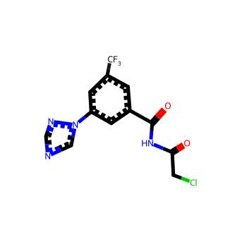 O=C(CCl)NC(=O)c1cc(-n2cncn2)cc(C(F)(F)F)c1